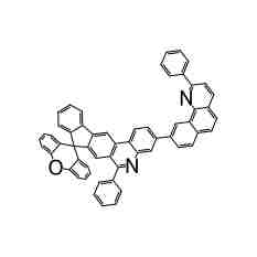 c1ccc(-c2ccc3ccc4ccc(-c5ccc6c(c5)nc(-c5ccccc5)c5cc7c(cc56)-c5ccccc5C75c6ccccc6Oc6ccccc65)cc4c3n2)cc1